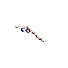 CCOC(=O)c1ccn(-c2ncc(OCCOCCOCCOC)cc2O)n1